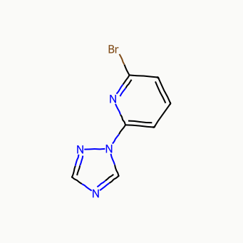 Brc1cccc(-n2cncn2)n1